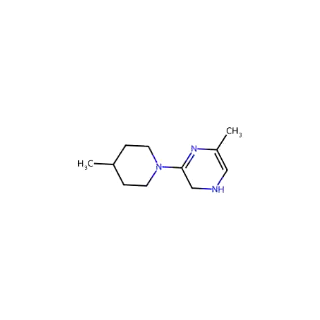 CC1=CNCC(N2CCC(C)CC2)=N1